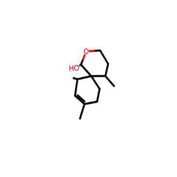 CC1=CC(C)C2(CC1)C(C)CCOC2O